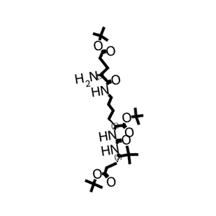 CC(C)(C)OC(=O)CC[C@H](NC(=O)N[C@@H](CCCCNC(=O)[C@@H](N)CCC(=O)OC(C)(C)C)C(=O)OC(C)(C)C)C(C)(C)C